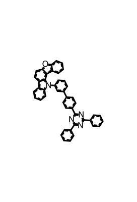 c1ccc(-c2nc(-c3ccccc3)nc(-c3ccc(-c4cccc(-n5c6ccccc6c6ccc7oc8ccccc8c7c65)c4)cc3)n2)cc1